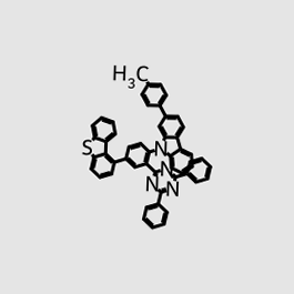 Cc1ccc(-c2ccc3c4ccccc4n(-c4ccc(-c5cccc6sc7ccccc7c56)cc4-c4nc(-c5ccccc5)nc(-c5ccccc5)n4)c3c2)cc1